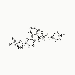 CN1CCN(CCS(=O)(=O)N(Cc2ccc(-c3nnc(C(F)F)o3)cc2)c2ccccc2)CC1